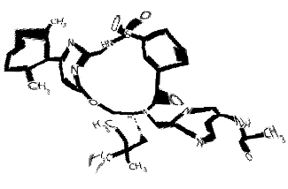 CC(=O)Nc1cnc(CN2C(=O)c3cccc(c3)S(=O)(=O)Nc3nc(cc(-c4c(C)cccc4C)n3)OC[C@H]2CC(C)(C)C)nc1